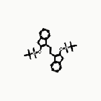 CC(C)(C)[Si](C)(C)OC1=C(CCC2=C(O[Si](C)(C)C(C)(C)C)[CH]c3ccccc32)c2ccccc2[CH]1